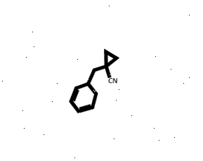 N#CC1(CC2C=CC=CC2)CC1